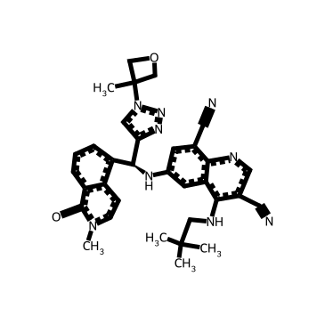 Cn1ccc2c([C@H](Nc3cc(C#N)c4ncc(C#N)c(NCC(C)(C)C)c4c3)c3cn(C4(C)COC4)nn3)cccc2c1=O